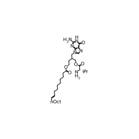 CCCCCCCCC=CCCCCCCCC(=O)OCCC(COC(=O)[C@@H](N)C(C)C)Cn1cnc2c(=O)[nH]c(N)nc21